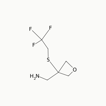 NCC1(SCC(F)(F)F)COC1